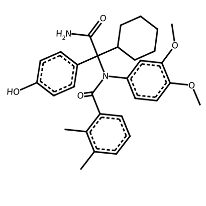 COc1ccc(N(C(=O)c2cccc(C)c2C)C(C(N)=O)(c2ccc(O)cc2)C2CCCCC2)cc1OC